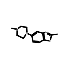 Cc1nc2cc(N3CCN(C)CC3)ccc2o1